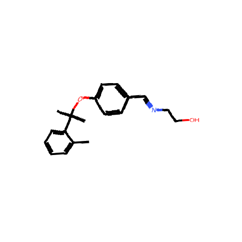 Cc1ccccc1C(C)(C)Oc1ccc(C=NCCO)cc1